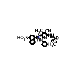 C=CS(=O)(=O)CCNc1nc(NC2CCCCC2)c(/N=N/c2ccc(S(=O)(=O)O)c3ccccc23)c(C)c1C#N